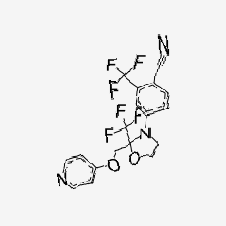 N#Cc1ccc(N2CCOC2(COc2ccncc2)C(F)(F)F)cc1C(F)(F)F